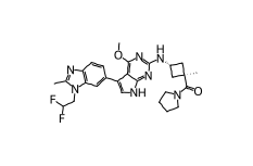 COc1nc(N[C@H]2C[C@](C)(C(=O)N3CCCC3)C2)nc2[nH]cc(-c3ccc4nc(C)n(CC(F)F)c4c3)c12